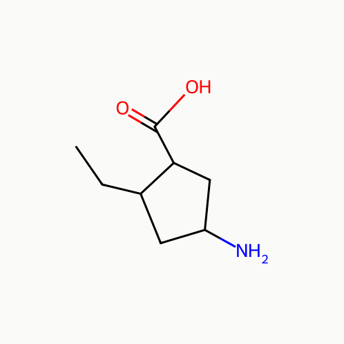 CCC1CC(N)CC1C(=O)O